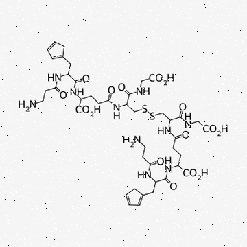 NCCC(=O)NC(CC1=CC=CC1)C(=O)NC(CCC(=O)NC(CSSCC(NC(=O)CCC(NC(=O)C(CC1=CC=CC1)NC(=O)CCN)C(=O)O)C(=O)NCC(=O)O)C(=O)NCC(=O)O)C(=O)O